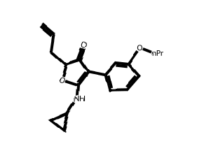 C=CCC1OC(NC2CC2)=C(c2cccc(OCCC)c2)C1=O